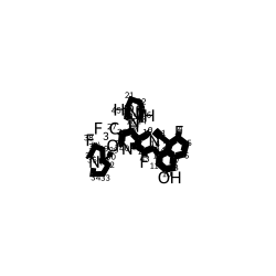 C#Cc1c(F)ccc2cc(O)cc(-c3ncc4c(N5C[C@H]6CC[C@@H](C5)N6)c(C(F)(F)F)c(OC[C@@]56CCCN5C[C@H](F)C6)nc4c3F)c12